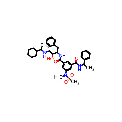 CC(NC(=O)c1cc(C(=O)NC(Cc2ccccc2)C(O)CNC(C)C2CCCCC2)cc(N(C)S(C)(=O)=O)c1)c1ccccc1